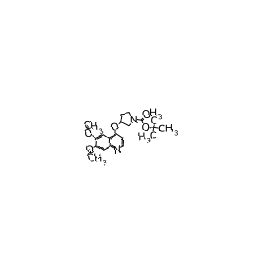 COc1cc2nccc(O[C@H]3CCN(C(=O)OC(C)(C)C)C3)c2cc1OC